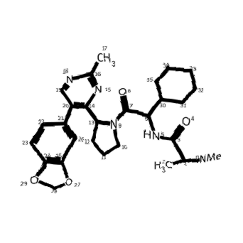 CNC(C)C(=O)NC(C(=O)N1CCCC1c1nc(C)ncc1-c1ccc2c(c1)OCO2)C1CCCCC1